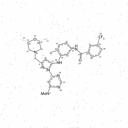 CNc1cc(-n2nc(CN3C[C@@H](C)O[C@@H](C)C3)cc2Nc2cc(NC(=O)c3cccc(C(F)(F)F)c3)ccc2C)ncn1